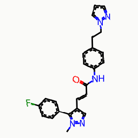 Cn1ncc(C=CC(=O)Nc2ccc(CCn3cccn3)cc2)c1-c1ccc(F)cc1